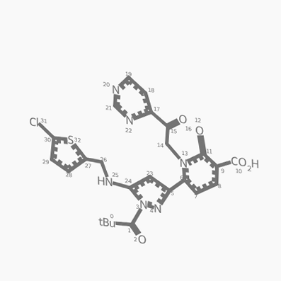 CC(C)(C)C(=O)n1nc(-c2ccc(C(=O)O)c(=O)n2CC(=O)c2ccncn2)cc1NCc1ccc(Cl)s1